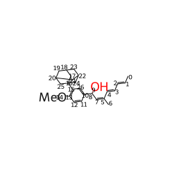 CC=CC=CC(C)=CC(O)c1ccc(OC)c(C23CC4CC(CC(C4)C2)C3)c1